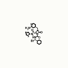 CCC(NC(=O)N1C(=O)[C@H](Cc2ccnc(N)c2)[C@H]1C(=O)N(C)c1cncs1)c1ccccc1